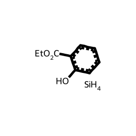 CCOC(=O)c1ccccc1O.[SiH4]